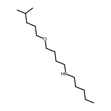 CCCCCNCCCCOCCCC(C)C